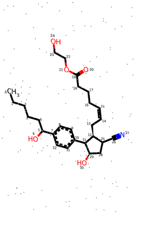 CCCCCC(O)c1ccc(C2[C@@H](C/C=C\CCCC(=O)OCCO)C(C#N)C[C@H]2O)cc1